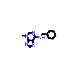 Cn1cnc(NCc2ccccc2)c2ncnc1-2